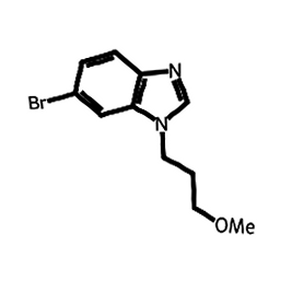 COCCCn1cnc2ccc(Br)cc21